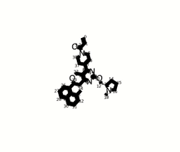 C=CC(=O)N1CC=C(c2nc(OC[C@@H]3CCCN3C)nc3c2COC(c2cccc4cccc(C)c24)C3)CC1